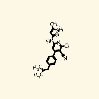 Cc1cc(Nc2cc(-c3ccc(CC(C)C)cc3)c(C#N)c(Cl)n2)n[nH]1